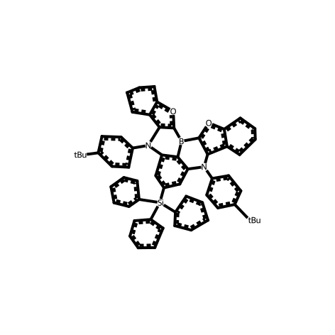 CC(C)(C)c1ccc(N2c3cc([Si](c4ccccc4)(c4ccccc4)c4ccccc4)cc4c3B(c3oc5ccccc5c32)c2oc3ccccc3c2N4c2ccc(C(C)(C)C)cc2)cc1